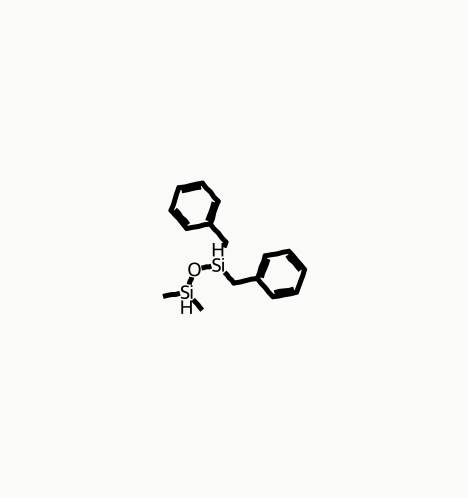 C[SiH](C)O[SiH](Cc1ccccc1)Cc1ccccc1